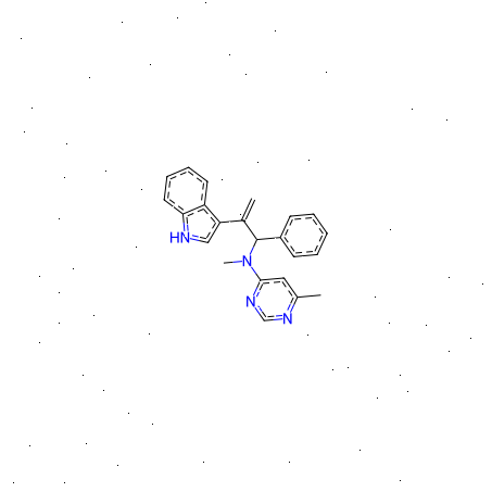 C=C(c1c[nH]c2ccccc12)C(c1ccccc1)N(C)c1cc(C)ncn1